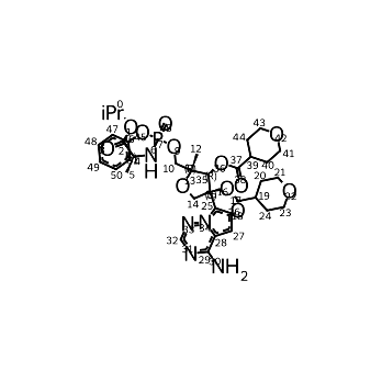 CC(C)OC(=O)[C@H](C)NP(=O)(OC[C@@]1(C)OC[C@@](OC(=O)C2CCOCC2)(c2ccc3c(N)ncnn23)[C@@H]1OC(=O)C1CCOCC1)Oc1ccccc1